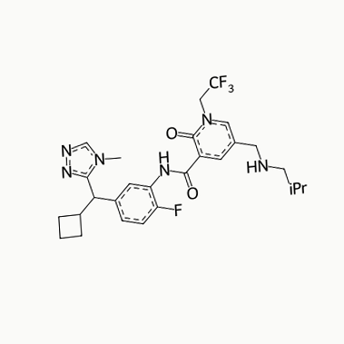 CC(C)CNCc1cc(C(=O)Nc2cc(C(c3nncn3C)C3CCC3)ccc2F)c(=O)n(CC(F)(F)F)c1